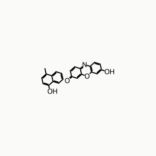 Cc1ccc(O)c2ccccc12.O=c1ccc2nc3ccc(O)cc3oc-2c1